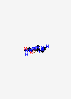 CC(=O)NC1CCCN(C(=O)c2nnc(-c3cnc(-c4ccc5cc(C#N)cnn45)cc3NC(C)C)s2)C1